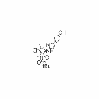 Cc1cc(Nc2ccc(N3CCC(O)CC3)cn2)c2c(c1Cl)C(C)N(C(=O)OC(C)(C)C)C2=O